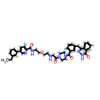 CCc1cccc(-c2cnc(C(=O)NCCOCCNCC(=O)N3CCN(C(=O)c4cc(Cc5n[nH]c(=O)c6ccccc56)ccc4F)CC3)c(F)c2)c1